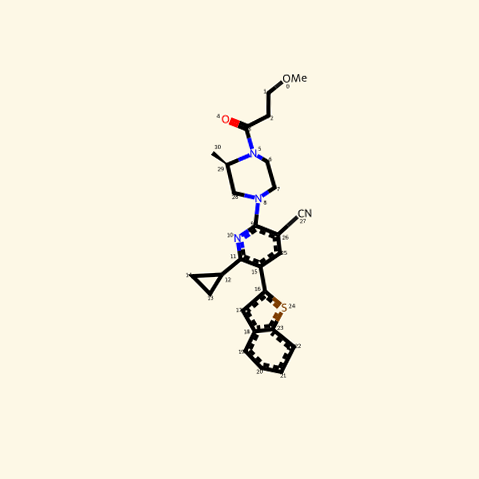 COCCC(=O)N1CCN(c2nc(C3CC3)c(-c3cc4ccccc4s3)cc2C#N)C[C@H]1C